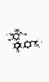 CC(C)CC1CCC(Oc2cc([C@@H]3O[C@H](CO)[C@@H](O)[C@H](O)[C@H]3O)ccc2Cl)CC1